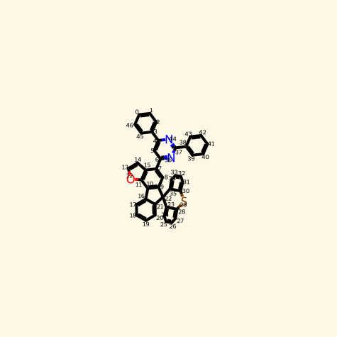 c1ccc(-c2cc(-c3cc4c(c5occc35)-c3ccccc3C43c4ccccc4Sc4ccccc43)nc(-c3ccccc3)n2)cc1